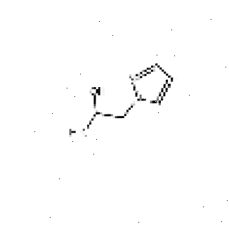 CC(O)Cn1c[c]cn1